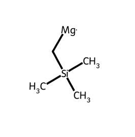 C[Si](C)(C)[CH2][Mg]